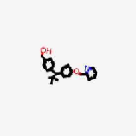 CC(C)(C)C(c1ccc(CO)cc1)c1ccc(OCc2ccccn2)cc1